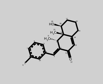 C[C@H]1/C(=C\c2cccc(I)c2)C(=O)C=C2CCC[C@H](O)[C@]21C